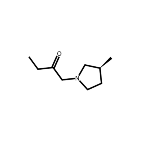 CCC(=O)CN1CC[C@H](C)C1